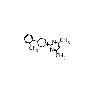 Cc1cc(C)nc(N2CCC(c3ccccc3C(F)(F)F)CC2)n1